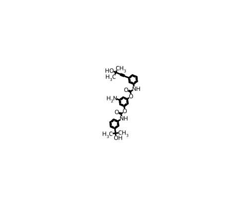 CC(C)(O)C#Cc1cccc(NC(=O)Oc2cc(N)cc(OC(=O)Nc3cccc(C(C)(C)O)c3)c2)c1